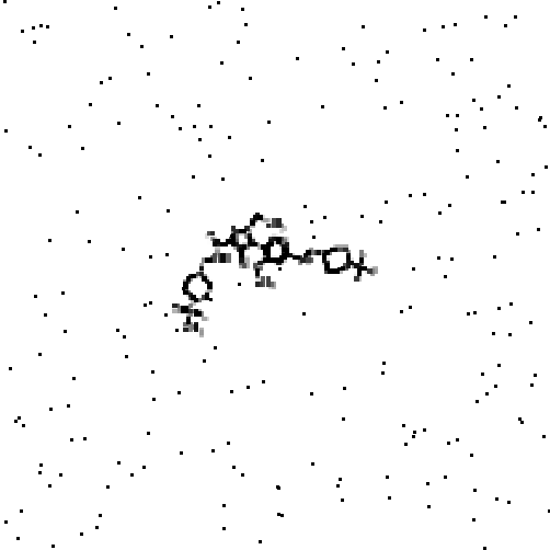 CCn1nc(C(=O)NC[C@H]2CC[C@@H](S(C)(=O)=O)CC2)c(Cl)c1-c1cnc(NC[C@H]2CC[C@@H](C(F)(F)F)CC2)cc1OC